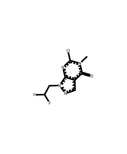 Cn1c(Cl)nc2c(cnn2CC(F)F)c1=O